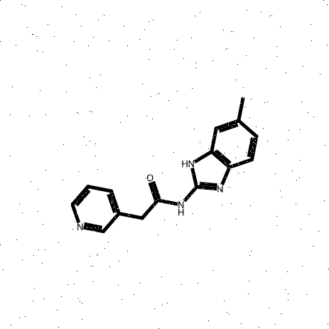 Cc1ccc2nc(NC(=O)Cc3cccnc3)[nH]c2c1